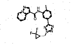 Cc1ccc(-c2nnn(C[C@@H]3CC3(F)F)n2)cc1NC(=O)c1cnn2ccccc12